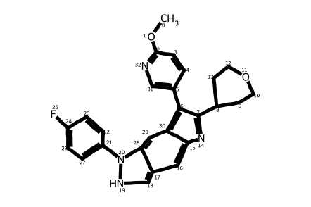 COc1ccc(-c2c(C3CCOCC3)nc3cc4c[nH]n(-c5ccc(F)cc5)c4cc23)cn1